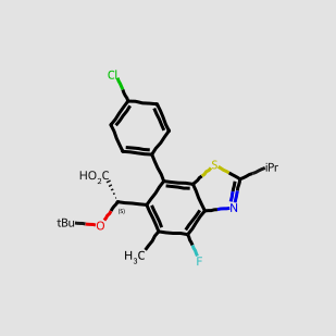 Cc1c([C@H](OC(C)(C)C)C(=O)O)c(-c2ccc(Cl)cc2)c2sc(C(C)C)nc2c1F